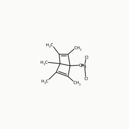 CC1=C(C)C2(C)C(C)=C(C)C12C.[Cl][Pd][Cl]